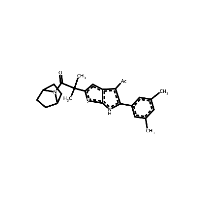 CC(=O)c1c(-c2cc(C)cc(C)c2)[nH]c2sc(C(C)(C)C(=O)N3C4CCC3CC4)cc12